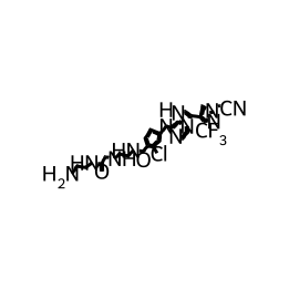 N#CCn1cc(-c2cnc3c(Nc4ccc(C(=O)NCCNCC(=O)NCCN)c(Cl)c4)nccn23)c(C(F)(F)F)n1